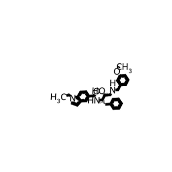 CCn1ccc2cc(C(=O)N[C@@H](Cc3ccccc3)[C@H](O)CNCc3cccc(OC)c3)ccc21